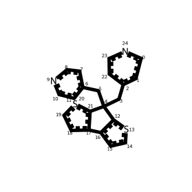 c1cc(CC2(Cc3ccncc3)c3sccc3-c3ccsc32)ccn1